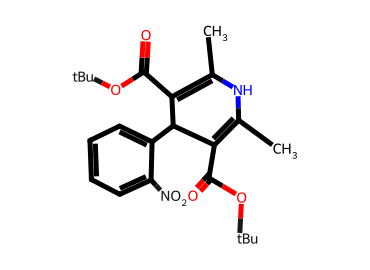 CC1=C(C(=O)OC(C)(C)C)C(c2ccccc2[N+](=O)[O-])C(C(=O)OC(C)(C)C)=C(C)N1